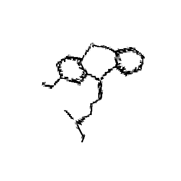 CCc1ccc2c(c1)/C(=C\CCN(C)C)c1ccccc1CO2